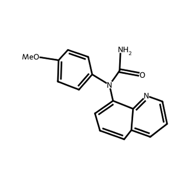 COc1ccc(N(C(N)=O)c2cccc3cccnc23)cc1